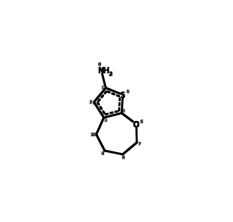 Nc1[c]c2c(s1)OCCCC2